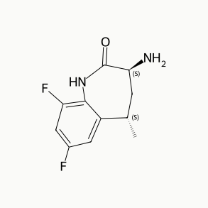 C[C@H]1C[C@H](N)C(=O)Nc2c(F)cc(F)cc21